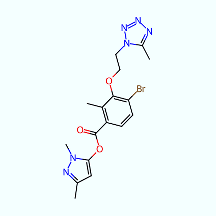 Cc1cc(OC(=O)c2ccc(Br)c(OCCn3nnnc3C)c2C)n(C)n1